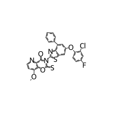 COc1ccnc2c(=O)n(-c3nc4c(-c5ccccc5)cc(Oc5ccc(F)cc5Cl)cc4s3)c(=S)oc12